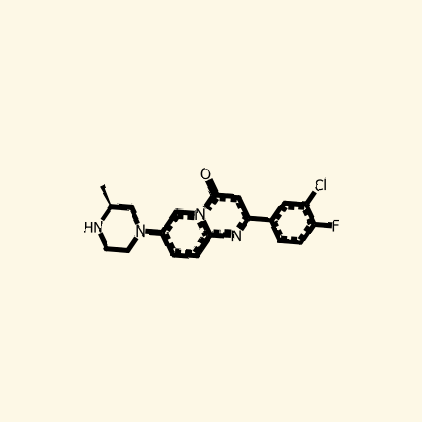 C[C@H]1CN(c2ccc3nc(-c4ccc(F)c(Cl)c4)cc(=O)n3c2)CCN1